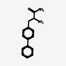 NC(=O)C(N)Cc1ccc(-c2ccccc2)cc1